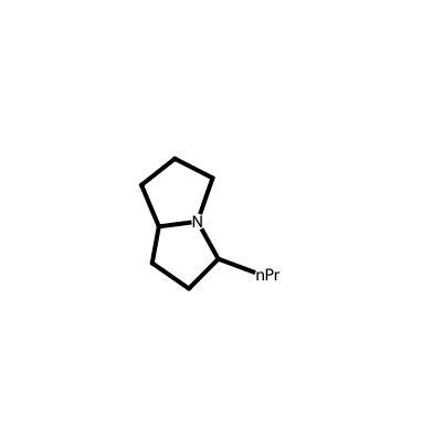 CCCC1CCC2CCCN12